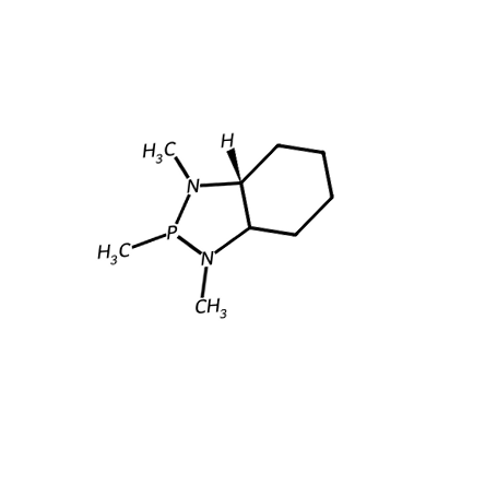 CN1C2CCCC[C@H]2N(C)P1C